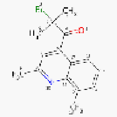 CC(C)(Br)C(=O)c1cc(C(F)(F)F)nc2c(C(F)(F)F)cccc12